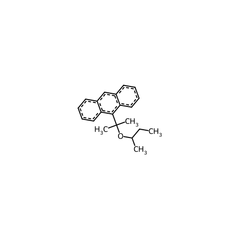 CCC(C)OC(C)(C)c1c2ccccc2cc2ccccc12